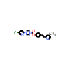 Cc1ccnc(CCc2ccc(OC(=O)N3CCN(c4ccc(Cl)cn4)CC3)cc2)c1